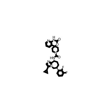 O=C1Nc2ncccc2C2(CCN(C(=O)N[C@@H]3CC[C@@H](c4cccc(F)c4F)Cn4c(C5CC5)cnc43)CC2)O1